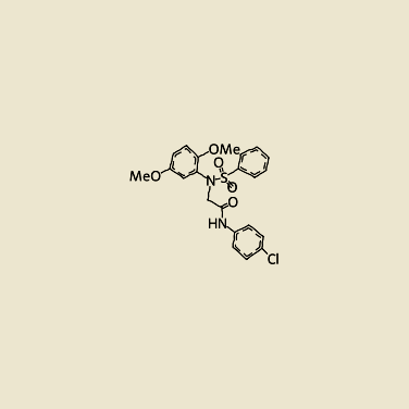 COc1ccc(OC)c(N(CC(=O)Nc2ccc(Cl)cc2)S(=O)(=O)c2ccccc2)c1